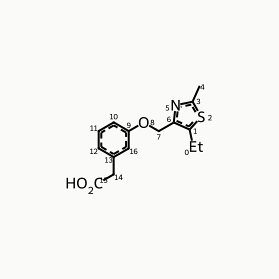 CCc1sc(C)nc1COc1cccc(CC(=O)O)c1